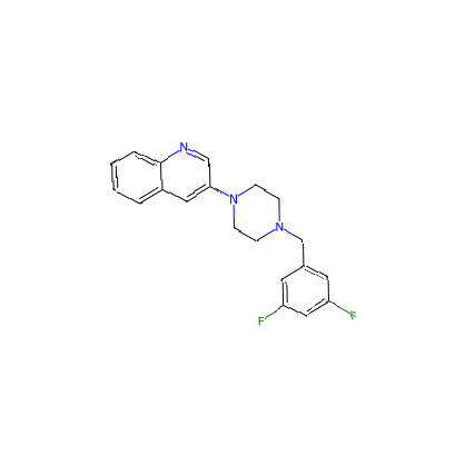 Fc1cc(F)cc(CN2CCN(c3cnc4ccccc4c3)CC2)c1